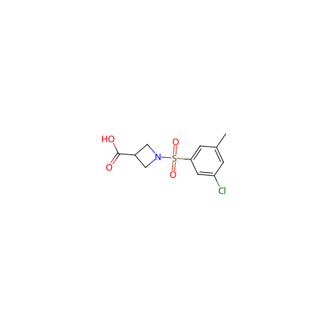 Cc1cc(Cl)cc(S(=O)(=O)N2CC(C(=O)O)C2)c1